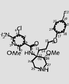 COc1nc(N)c(Cl)cc1C(=O)N[C@@]1(CCCOc2ccc(F)cc2)CCNC[C@H]1OC